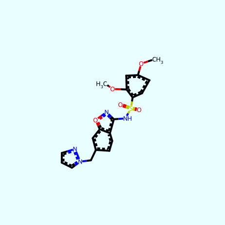 COc1ccc(S(=O)(=O)Nc2noc3cc(Cn4cccn4)ccc23)c(OC)c1